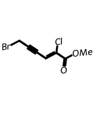 COC(=O)/C(Cl)=C/C#CCBr